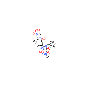 Cc1nn2c(O)c(C(=O)NC3CC3)c(=O)n(CC(C)C)c2c1C=CC(=O)N1CCN(C(=O)O)CC1C